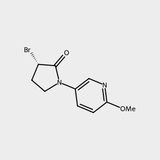 COc1ccc(N2CC[C@H](Br)C2=O)cn1